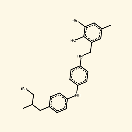 Cc1cc(CNc2ccc(Nc3ccc(CC(C)CC(C)(C)C)cc3)cc2)c(O)c(C(C)(C)C)c1